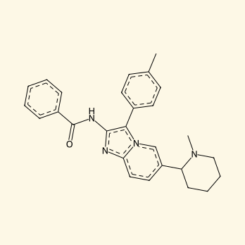 Cc1ccc(-c2c(NC(=O)c3ccccc3)nc3ccc(C4CCCCN4C)cn23)cc1